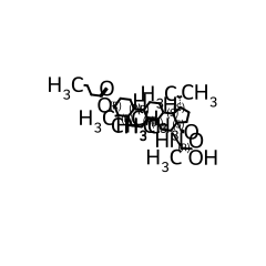 CCCC(=O)O[C@@H]1CC[C@]2(C)[C@H]3CCC4[C@@H]5[C@H](C(C)C)CC[C@]5(C(=O)N[C@H](C)C(=O)O)CC[C@@]4(C)[C@]3(C)CC[C@H]2C1(C)C